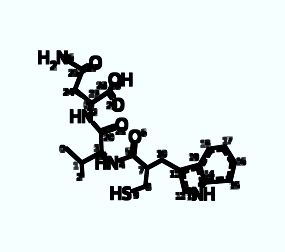 CC(C)[C@H](NC(=O)C(CS)Cc1c[nH]c2ccccc12)C(=O)N[C@@H](CC(N)=O)C(=O)O